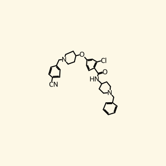 N#Cc1ccc(CN2CCC(Oc3ccc(C(=O)NC4CCN(Cc5ccccc5)CC4)c(Cl)c3)CC2)cc1